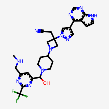 CNCc1cc(C(O)N2CCC(N3CC(CC#N)(n4cc(-c5ncnc6[nH]ccc56)cn4)C3)CC2)nc(C(F)(F)F)n1